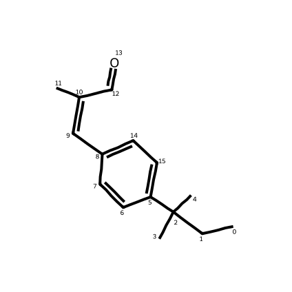 CCC(C)(C)c1ccc(C=C(C)C=O)cc1